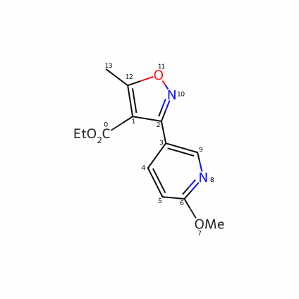 CCOC(=O)c1c(-c2ccc(OC)nc2)noc1C